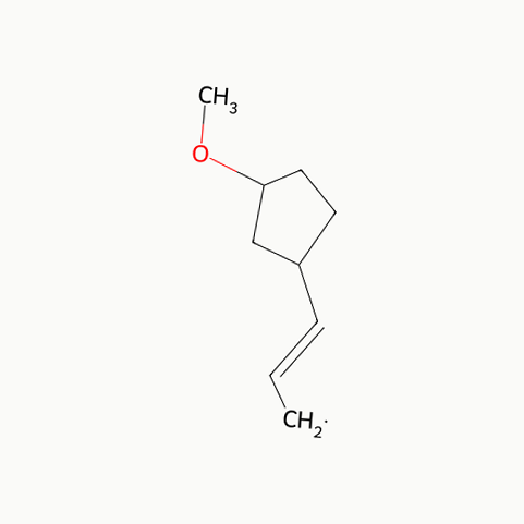 [CH2]C=CC1CCC(OC)C1